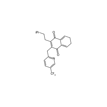 CC(C)CCC1=C(Cc2ccc(C(F)(F)F)cn2)C(=O)C2=CCCC=C2C1=O